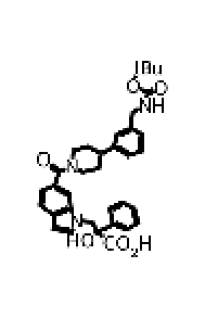 CC(C)(C)OC(=O)NCc1cccc(C2CCN(C(=O)c3ccc4ccn(CC(O)(C(=O)O)c5ccccc5)c4c3)CC2)c1